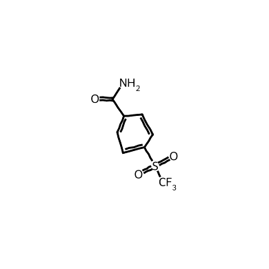 NC(=O)c1ccc(S(=O)(=O)C(F)(F)F)cc1